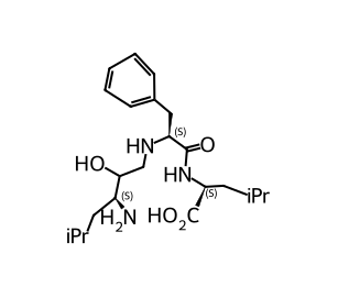 CC(C)C[C@H](NC(=O)[C@H](Cc1ccccc1)NCC(O)[C@@H](N)CC(C)C)C(=O)O